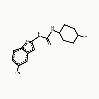 CCC1CCC(NC(=O)Nc2nc3ccc(C#N)cc3s2)CC1